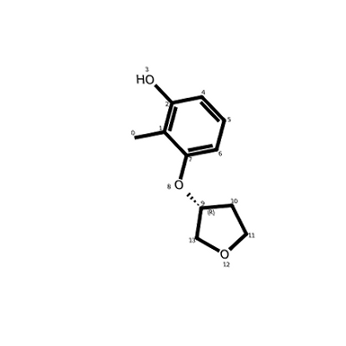 Cc1c(O)cccc1O[C@@H]1CCOC1